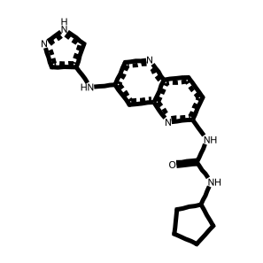 O=C(Nc1ccc2ncc(Nc3cn[nH]c3)cc2n1)NC1CCCC1